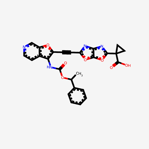 CC(OC(=O)Nc1c(C#Cc2nc3nc(C4(C(=O)O)CC4)oc3o2)oc2cnccc12)c1ccccc1